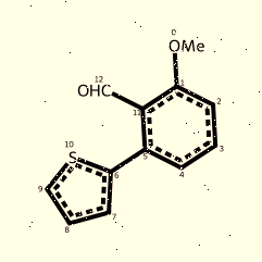 COc1cccc(-c2cccs2)c1C=O